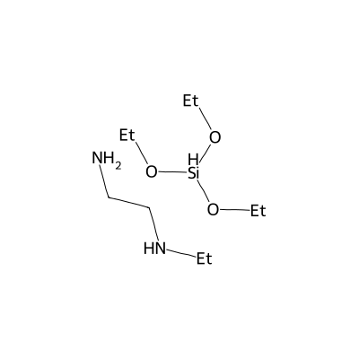 CCNCCN.CCO[SiH](OCC)OCC